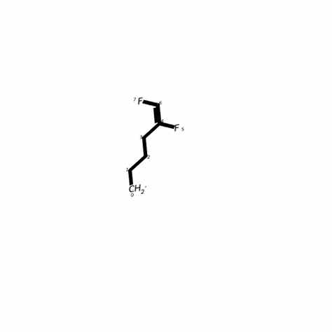 [CH2]CCC/C(F)=C\F